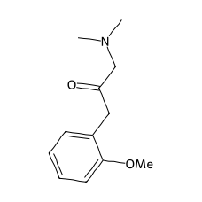 COc1ccccc1CC(=O)CN(C)C